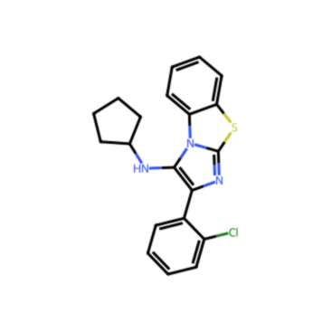 Clc1ccccc1-c1nc2sc3ccccc3n2c1NC1CCCC1